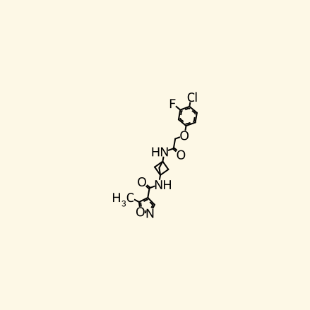 Cc1oncc1C(=O)NC12CC(NC(=O)COc3ccc(Cl)c(F)c3)(C1)C2